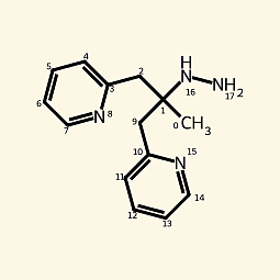 CC(Cc1ccccn1)(Cc1ccccn1)NN